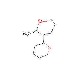 CC1OCCCC1C1CCCCO1